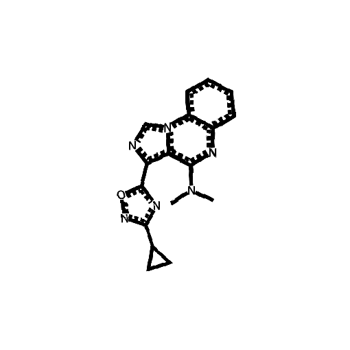 CN(C)c1nc2ccccc2n2cnc(-c3nc(C4CC4)no3)c12